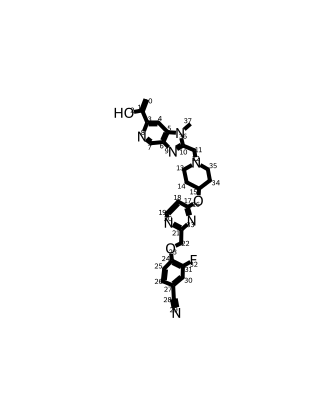 C=C(O)c1cc2c(cn1)nc(CN1CCC(Oc3ccnc(COc4ccc(C#N)cc4F)n3)CC1)n2C